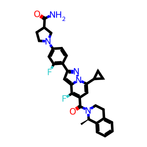 C[C@@H]1c2ccccc2CCN1C(=O)c1cc(C2CC2)n2nc(-c3ccc(N4CCC(C(N)=O)C4)cc3F)cc2c1F